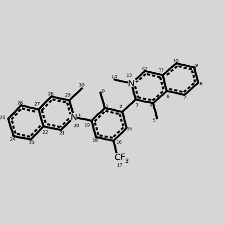 Cc1c(-c2c(C)c3ccccc3c[n+]2C)cc(C(F)(F)F)cc1-[n+]1cc2ccccc2cc1C